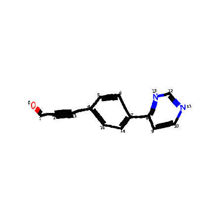 O=CC#Cc1ccc(-c2ccncn2)cc1